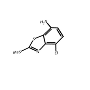 CSc1nc2c(Cl)ccc(N)c2s1